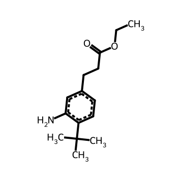 CCOC(=O)CCc1ccc(C(C)(C)C)c(N)c1